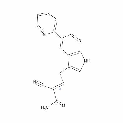 CC(=O)/C(C#N)=C/Cc1c[nH]c2ncc(-c3ccccn3)cc12